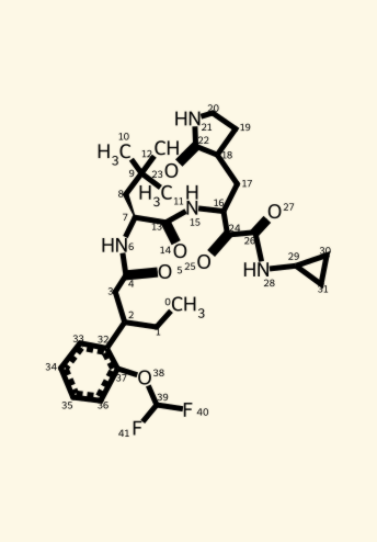 CCC(CC(=O)N[C@@H](CC(C)(C)C)C(=O)NC(CC1CCNC1=O)C(=O)C(=O)NC1CC1)c1ccccc1OC(F)F